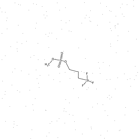 COS(=O)(=O)OCCC[Si](F)(F)F